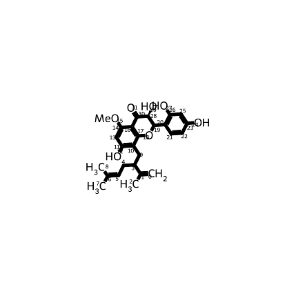 C=C(C)C(CC=C(C)C)Cc1c(O)cc(OC)c2c1OC(c1ccc(O)cc1O)[C@H](O)C2=O